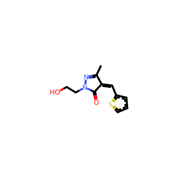 CC1=NN(CCO)C(=O)C1=Cc1cccs1